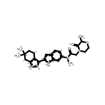 CC1OCCN(CC(=O)N(C)c2ccc3cc(-c4n[nH]c5c4CCC(C)(C)C5)[nH]c3c2)C1=O